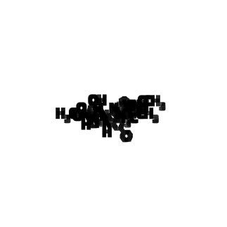 COC(=O)N[C@@H](CC(=O)O)C(=O)N1CCC[C@H]1c1ncc(C2(c3cnc([C@@H]4CCCN4C(=O)[C@@H](NC(=O)OC)C(C)C)[nH]3)C=CC(c3ccccc3)=CC2)[nH]1